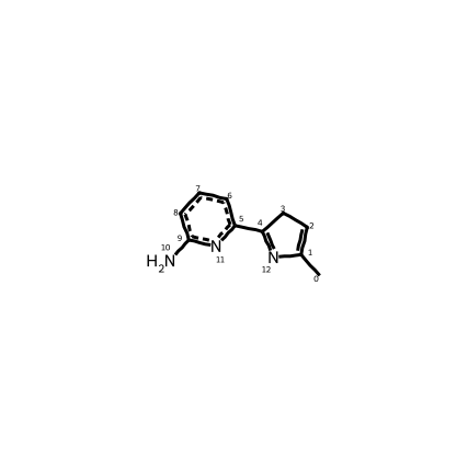 CC1=CCC(c2cccc(N)n2)=N1